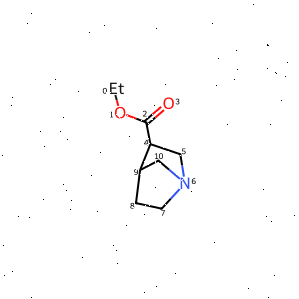 CCOC(=O)C1CN2CCC1C2